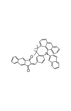 CC1(C)c2cc(C=C3C(=O)c4cc5ccccc5cc4C3=O)ccc2N(c2ccc3ccccc3c2)c2c3ccccc3cc3cccc(c23)C1(C)C